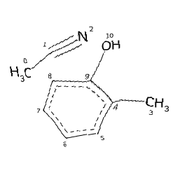 CC#N.Cc1ccccc1O